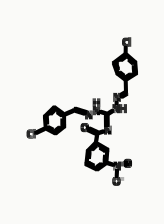 O=C(N=C(NN=Cc1ccc(Cl)cc1)NN=Cc1ccc(Cl)cc1)c1cccc([N+](=O)[O-])c1